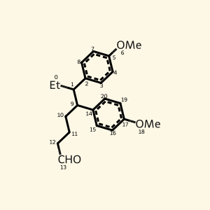 CCC(c1ccc(OC)cc1)C(CCCC=O)c1ccc(OC)cc1